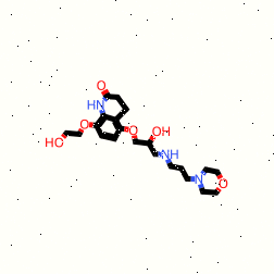 O=C1CCc2c(OCC(O)CNCCCN3CCOCC3)ccc(OCCO)c2N1